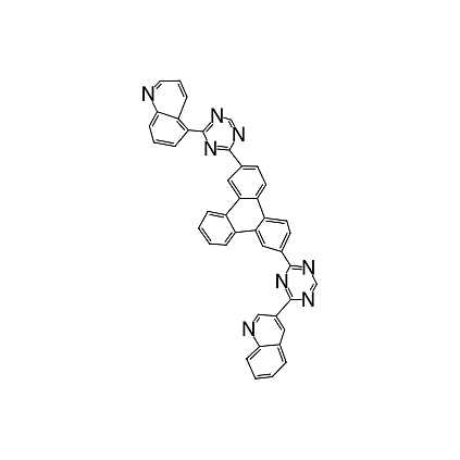 c1ccc2ncc(-c3ncnc(-c4ccc5c6ccc(-c7ncnc(-c8cccc9ncccc89)n7)cc6c6ccccc6c5c4)n3)cc2c1